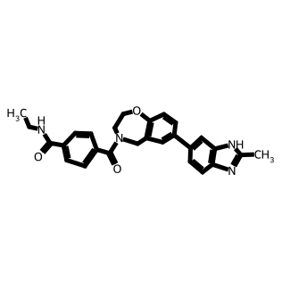 CCNC(=O)c1ccc(C(=O)N2CCOc3ccc(-c4ccc5nc(C)[nH]c5c4)cc3C2)cc1